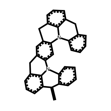 C=C1c2ccccc2N2c3cc4c(cc3Cc3cccc1c32)Cc1cccc2c1N4c1ccccc1C2